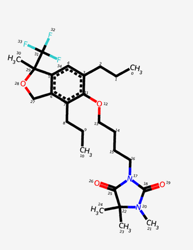 CCCc1cc2c(c(CCC)c1OCCCCN1C(=O)N(C)C(C)(C)C1=O)COC2(C)C(F)(F)F